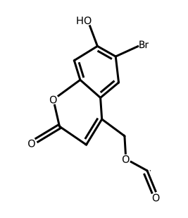 O=[C]OCc1cc(=O)oc2cc(O)c(Br)cc12